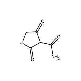 NC(=O)C1C(=O)COC1=O